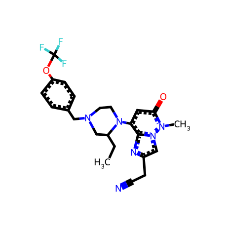 CCC1CN(Cc2ccc(OC(F)(F)F)cc2)CCN1c1cc(=O)n(C)n2cc(CC#N)nc12